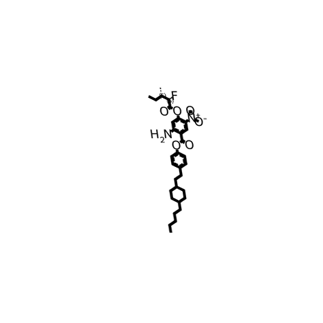 CCCCCC1CCC(CCc2ccc(OC(=O)c3cc([N+](=O)[O-])c(OC(=O)[C@@H](F)[C@@H](C)CC)cc3N)cc2)CC1